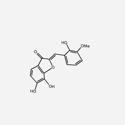 COc1cccc(C=C2Oc3c(ccc(O)c3O)C2=O)c1O